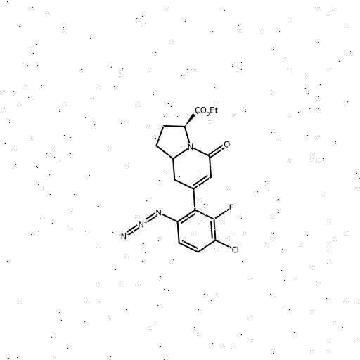 CCOC(=O)[C@@H]1CCC2CC(c3c(N=[N+]=[N-])ccc(Cl)c3F)=CC(=O)N21